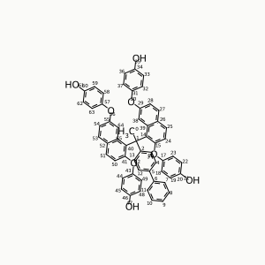 CC(c1ccc(-c2ccccc2)cc1)(c1c(Oc2ccc(O)cc2)ccc2ccc(Oc3ccc(O)cc3)cc12)c1c(Oc2ccc(O)cc2)ccc2ccc(Oc3ccc(O)cc3)cc12